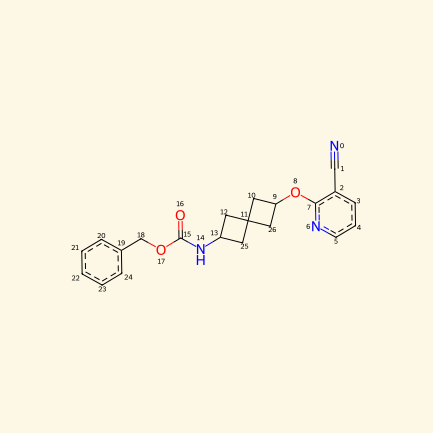 N#Cc1cccnc1OC1CC2(CC(NC(=O)OCc3ccccc3)C2)C1